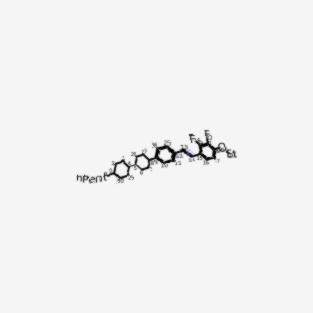 CCCCCC1CCC(C2CCC(c3ccc(/C=C/c4ccc(OCC)c(F)c4F)cc3)CC2)CC1